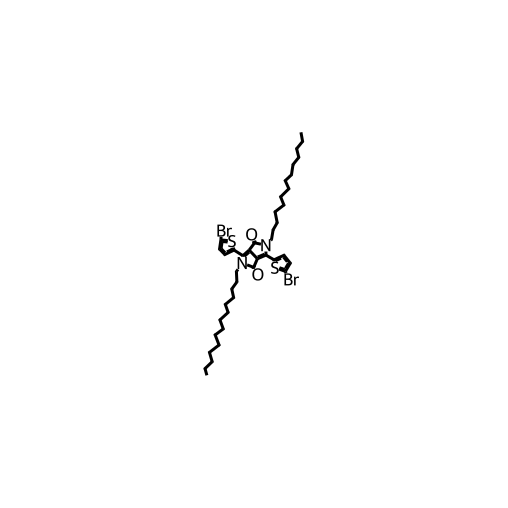 CCCCCCCCCCCCCCN1C(=O)C2=C(c3ccc(Br)s3)N(CCCCCCCCCCCCCC)C(=O)C2=C1c1ccc(Br)s1